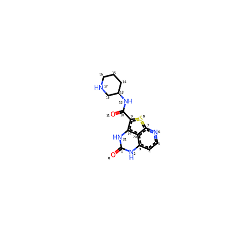 O=C1Nc2ccnc3sc(C(=O)N[C@@H]4CCCNC4)c(c23)N1